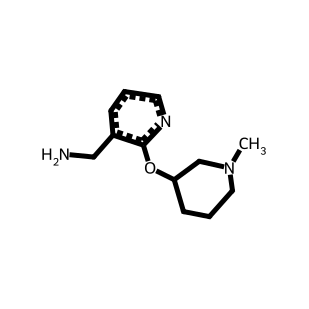 CN1CCCC(Oc2ncccc2CN)C1